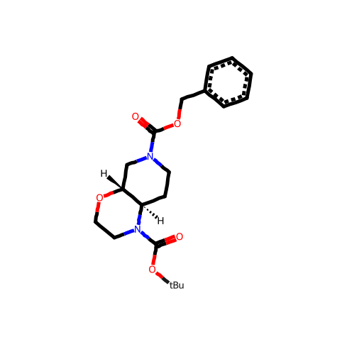 CC(C)(C)OC(=O)N1CCO[C@@H]2CN(C(=O)OCc3ccccc3)CC[C@H]21